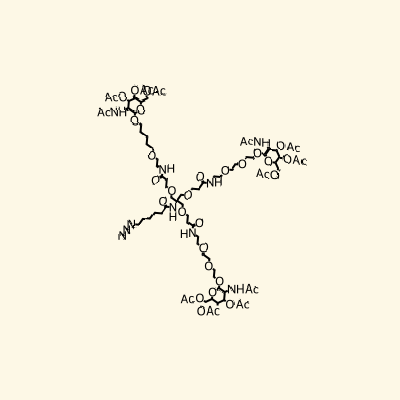 CC(=O)NC1C(OCCCCCOCCNC(=O)CCOCC(COCCC(=O)NCCOCCOCCOC2OC(COC(C)=O)C(OC(C)=O)C(OC(C)=O)C2NC(C)=O)(COCCC(=O)NCCOCCOCCOC2OC(COC(C)=O)C(OC(C)=O)C(OC(C)=O)C2NC(C)=O)NC(=O)CCCCCN=[N+]=[N-])OC(COC(C)=O)C(OC(C)=O)C1OC(C)=O